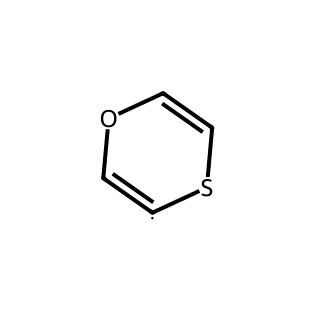 [C]1=COC=CS1